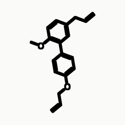 C=CCOc1ccc(-c2cc(CC=C)ccc2OC)cc1